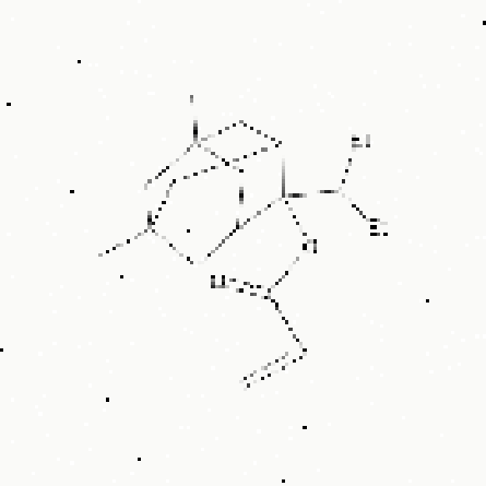 C=CC(=O)OC1(C(CC)CC)C2CC3(C)CC1CC(C)(C2)C3